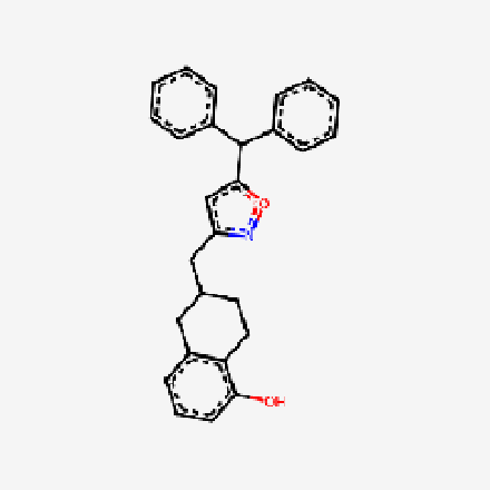 Oc1cccc2c1CCC(Cc1cc(C(c3ccccc3)c3ccccc3)on1)C2